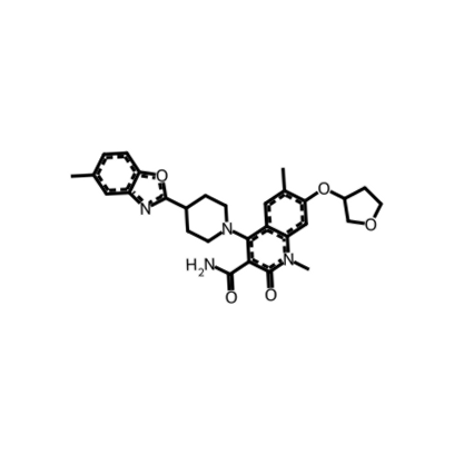 Cc1ccc2oc(C3CCN(c4c(C(N)=O)c(=O)n(C)c5cc(OC6CCOC6)c(C)cc45)CC3)nc2c1